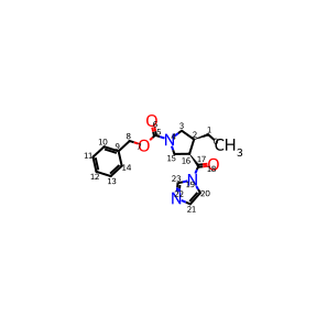 CC[C@@H]1CN(C(=O)OCc2ccccc2)C[C@@H]1C(=O)n1ccnc1